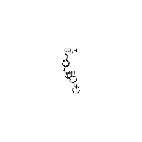 O=C(O)/C=C/c1ccc(Cc2nc3cc(N4CCCCC4)ccc3[nH]2)cc1